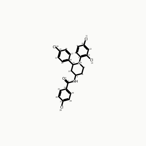 O=C(NC1CCN(c2ccc(Cl)cc2Cl)C(c2ccc(Cl)cc2)C1)c1ccc(Cl)cc1